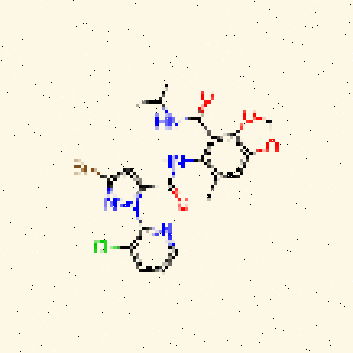 Cc1cc2c(c(C(=O)NC(C)C)c1NC(=O)c1cc(Br)nn1-c1ncccc1Cl)OCO2